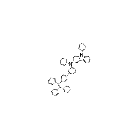 c1ccc(C(=C(c2ccccc2)c2ccc(-c3cccc(N(c4ccccc4)c4ccc5c(c4)c4ccccc4n5-c4ccccc4)c3)cc2)c2ccccc2)cc1